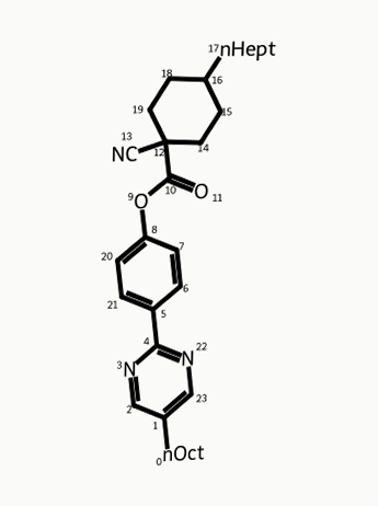 CCCCCCCCc1cnc(-c2ccc(OC(=O)C3(C#N)CCC(CCCCCCC)CC3)cc2)nc1